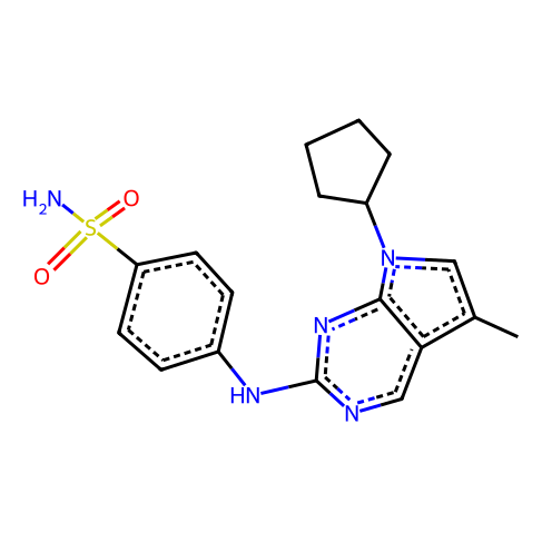 Cc1cn(C2CCCC2)c2nc(Nc3ccc(S(N)(=O)=O)cc3)ncc12